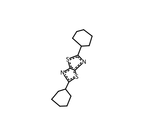 C1CCC(c2nc3sc(C4CCCCC4)nc3s2)CC1